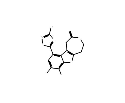 Nc1noc(-c2cc(Cl)c(Cl)c3[nH]c4c(c23)CC(=O)NCC4)n1